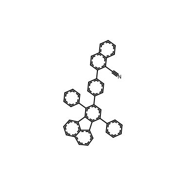 N#Cc1c(-c2ccc(-c3cc(-c4ccccc4)c4c(c3-c3ccccc3)-c3cccc5cccc-4c35)cc2)ccc2ccccc12